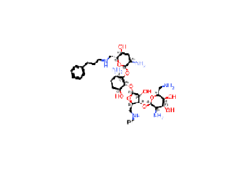 CC(C)NC[C@H]1O[C@@H](O[C@H]2[C@H](O[C@H]3O[C@H](CNCCCc4ccccc4)[C@@H](O)C[C@H]3N)[C@@H](N)CC[C@@H]2O)[C@H](O)[C@@H]1O[C@H]1O[C@@H](CN)[C@@H](O)[C@H](O)[C@H]1N